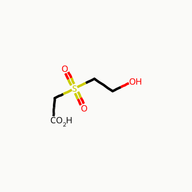 O=C(O)CS(=O)(=O)CCO